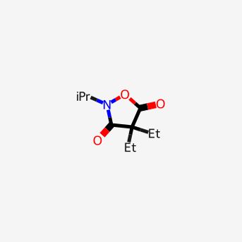 CCC1(CC)C(=O)ON(C(C)C)C1=O